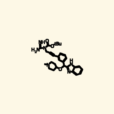 CN1CCC(OC(c2cccc(C#CCN(C(=N)N)C(=O)OC(C)(C)C)c2)c2nc3ccccc3[nH]2)CC1